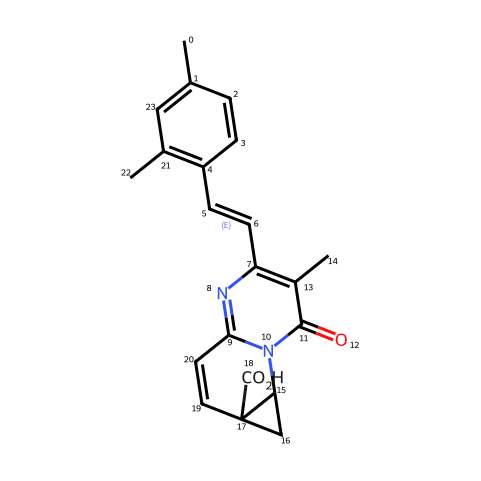 Cc1ccc(/C=C/c2nc3n(c(=O)c2C)C2CC2(C(=O)O)C=C3)c(C)c1